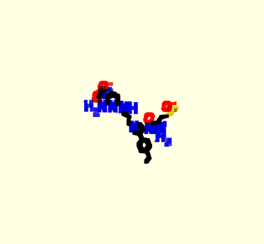 CCc1ccc(-c2cn(CCCNc3ccc([N+](=O)[O-])c(N)n3)cc2NC(=O)C(N)CC[S+](C)[O-])cc1